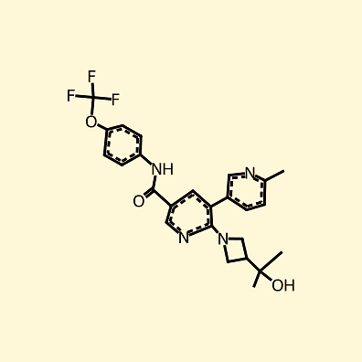 Cc1ccc(-c2cc(C(=O)Nc3ccc(OC(F)(F)F)cc3)cnc2N2CC(C(C)(C)O)C2)cn1